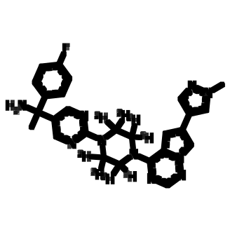 [2H]C1([2H])N(c2ncc(C(C)(N)c3ccc(F)cc3)cn2)C([2H])([2H])C([2H])([2H])N(c2ncnn3cc(-c4cnn(C)c4)cc23)C1([2H])[2H]